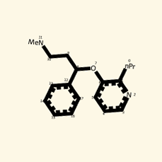 CCCc1ncccc1OC(CCNC)c1ccccc1